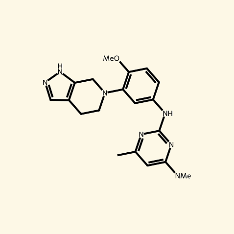 CNc1cc(C)nc(Nc2ccc(OC)c(N3CCc4cn[nH]c4C3)c2)n1